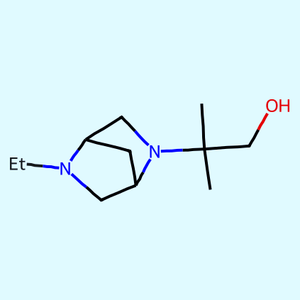 CCN1CC2CC1CN2C(C)(C)CO